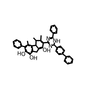 CC1=C(C2=NC(c3ccc(-c4ccccc4)cc3)NC(c3ccccc3)=N2)C(O)=C2Cc3c(O)c(O)c(-c4ccccc4)c(C)c3C2C1C